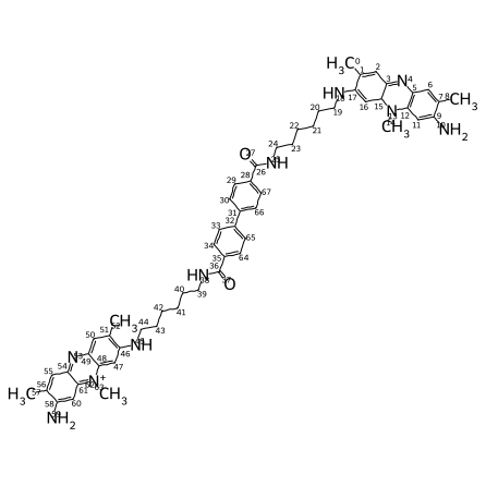 CC1=CC2=Nc3cc(C)c(N)cc3N(C)C2C=C1NCCCCCCNC(=O)c1ccc(-c2ccc(C(=O)NCCCCCCNc3cc4c(cc3C)nc3cc(C)c(N)cc3[n+]4C)cc2)cc1